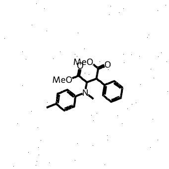 COC(=O)C(c1ccccc1)C(C(=O)OC)N(C)c1ccc(C)cc1